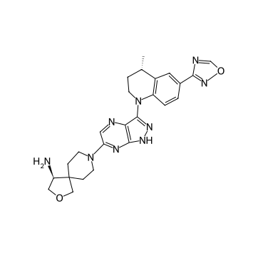 C[C@H]1CCN(c2n[nH]c3nc(N4CCC5(CC4)COC[C@H]5N)cnc23)c2ccc(-c3ncon3)cc21